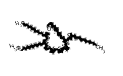 CCCCCCCCCCCCc1csc(-c2sc(-c3ccc(-c4ccc(-c5ccc(-c6ccc(-c7sc(-c8sccc8CCCCCCCCCCCC)cc7CCCCCCCCCCCC)s6)s5)s4)s3)cc2CCCCCCCCCCCC)c1